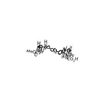 COC(=O)N[C@H](C(=O)N1[C@@H]2C[C@@H]2C[C@H]1c1nc2cc(-c3ccc4nc(-c5ccc6[nH]c([C@@H]7C[C@H]8C[C@H]8N7C(=O)[C@H](C(C)C)N(C)C(=O)O)nc6c5)ccc4c3)ccc2[nH]1)C(C)C